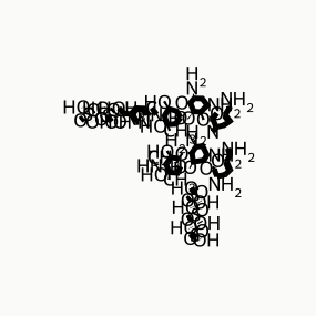 CN[C@@H]1[C@@H](O)[C@@H](O[C@@H]2[C@@H](O)[C@H](OC3OC(CN)=CCC3N)[C@@H](N)C[C@H]2N)OC[C@]1(C)O.CN[C@@H]1[C@@H](O)[C@@H](O[C@@H]2[C@@H](O)[C@H](OC3OC(CN)=CCC3N)[C@@H](N)C[C@H]2N)OC[C@]1(C)O.O=C(O)c1cccnc1.O=S(=O)(O)O.O=S(=O)(O)O.O=S(=O)(O)O.O=S(=O)(O)O.O=S(=O)(O)O